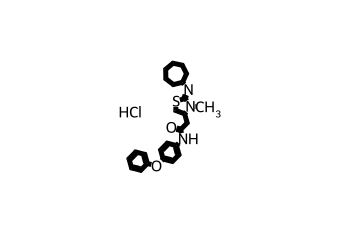 CN1C(=NC2CCCCCC2)SCC1CC(=O)Nc1ccc(Oc2ccccc2)cc1.Cl